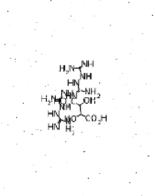 N=C(N)NNC(=N)N.N=C(N)NNC(=N)N.O=C(O)C(O)C(O)C(=O)O